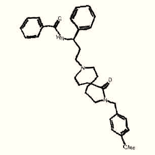 COc1ccc(CN2CCC3(CCN(CCC(NC(=O)c4ccccc4)c4ccccc4)CC3)C2=O)cc1